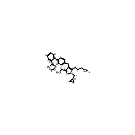 CCCCc1c(Cc2ccc(-c3ccccc3-c3nnn[nH]3)cc2)c(CO)nn1CC1CC1